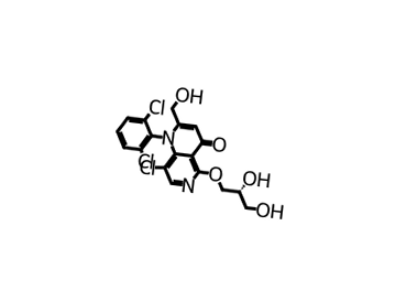 O=c1cc(CO)n(-c2c(Cl)cccc2Cl)c2c(Cl)cnc(OC[C@H](O)CO)c12